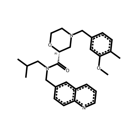 COc1cc(CN2CCO[C@@H](C(=O)N(Cc3ccc4ncccc4c3)CC(C)C)C2)ccc1C